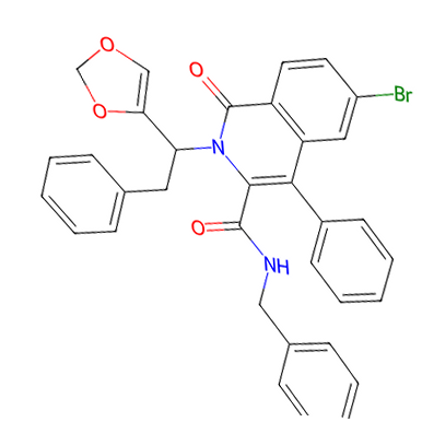 O=C(NCc1ccccc1)c1c(-c2ccccc2)c2cc(Br)ccc2c(=O)n1C(Cc1ccccc1)C1=COCO1